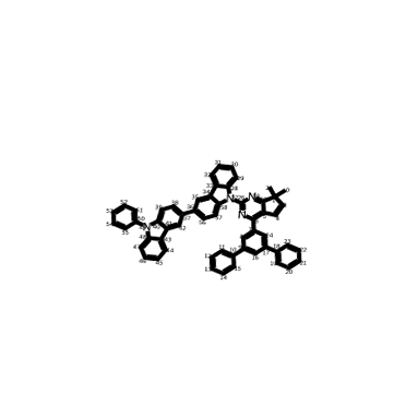 CC1(C)C=Cc2c(-c3cc(-c4ccccc4)cc(-c4ccccc4)c3)nc(-n3c4ccccc4c4cc(-c5ccc6c(c5)c5ccccc5n6-c5ccccc5)ccc43)nc21